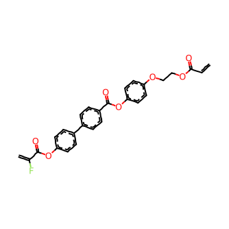 C=CC(=O)OCCOc1ccc(OC(=O)c2ccc(-c3ccc(OC(=O)C(=C)F)cc3)cc2)cc1